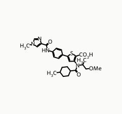 COCC(C)N(C(=O)C1CCC(C)CC1)c1cc(-c2ccc(NC(=O)c3cn(C)cn3)cc2)sc1C(=O)O